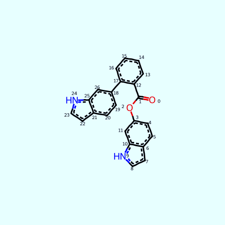 O=C(Oc1ccc2cc[nH]c2c1)c1ccccc1-c1ccc2cc[nH]c2c1